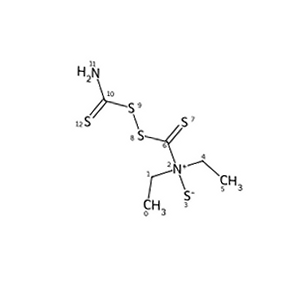 CC[N+]([S-])(CC)C(=S)SSC(N)=S